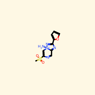 CS(=O)(=O)C1=C[N+]2(N)N=C(c3ccco3)N=C2C=N1